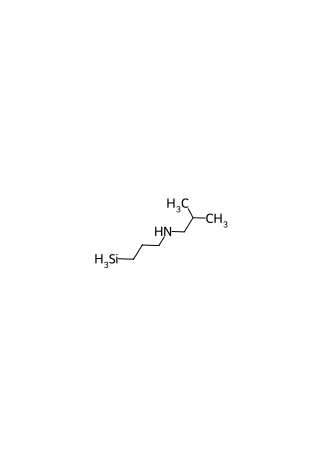 CC(C)CNCCC[SiH3]